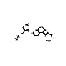 BC(B)(B)C(B)(B)OCc1cnc(Cl)nc1Oc1ccc2c(ccc3sc4c(c32)NC[C@@H](C)NC4=O)n1